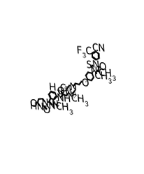 C[C@@H]1CN(CCCO[C@H]2CC[C@H](N3C(=S)N(c4ccc(C#N)c(C(F)(F)F)c4)C(=O)C3(C)C)CC2)C[C@H](C)N1CC(=O)Nc1cccc2c(N3CCC(=O)NC3=O)nn(C)c12